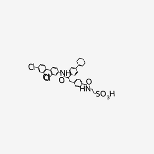 O=C(NCCS(=O)(=O)O)c1ccc(CC(C(=O)Nc2ccc(-c3ccc(Cl)cc3Cl)c(Cl)c2)c2ccc(C3=CCCCC3)cc2)cc1